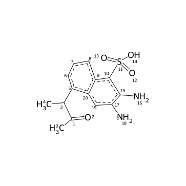 CC(=O)C(C)c1cccc2c(S(=O)(=O)O)c(N)c(N)cc12